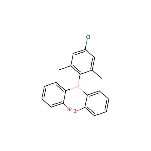 Cc1cc(Cl)cc(C)c1B(c1ccccc1Br)c1ccccc1Br